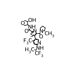 C[C@H](Nc1cc(C(F)(F)F)c(-c2sc(C(=O)N[C@H]3COC[C@H]3O)nc2C(=O)N2CCC[C@@H]2C)cn1)C(F)(F)F